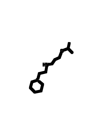 CC(C)OCCCNCCN1CCCCC1